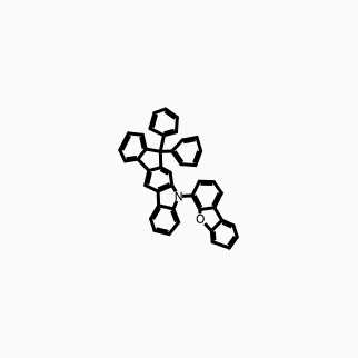 c1ccc(C2(c3ccccc3)c3ccccc3-c3cc4c5ccccc5n(-c5cccc6c5oc5ccccc56)c4cc32)cc1